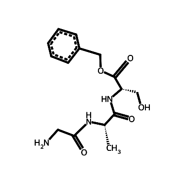 C[C@H](NC(=O)CN)C(=O)N[C@@H](CO)C(=O)OCc1ccccc1